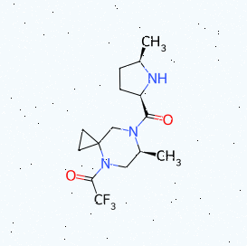 C[C@@H]1CC[C@H](C(=O)N2CC3(CC3)N(C(=O)C(F)(F)F)C[C@@H]2C)N1